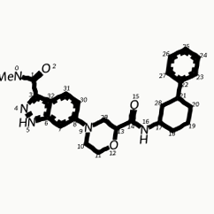 CNC(=O)c1n[nH]c2cc(N3CCOC(C(=O)NC4CCCC(c5ccccc5)C4)C3)ccc12